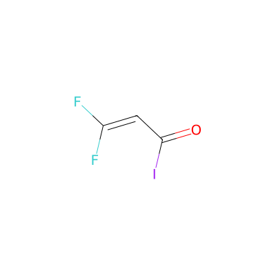 O=C(I)C=C(F)F